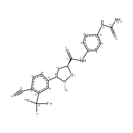 C[C@H]1O[C@H](C(=O)Nc2ccc(NC(N)=O)cc2)CN1c1ccc(C#N)c(C(F)(F)F)c1